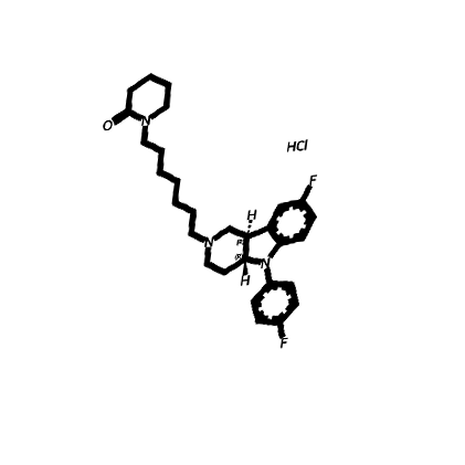 Cl.O=C1CCCCN1CCCCCCCN1CC[C@@H]2[C@@H](C1)c1cc(F)ccc1N2c1ccc(F)cc1